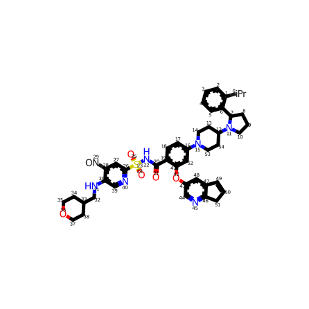 CC(C)c1ccccc1C1CCCN1C1CCN(c2ccc(C(=O)NS(=O)(=O)c3cc(N=O)c(NCC4CCOCC4)cn3)c(Oc3cnc4c(c3)C=CC4)c2)CC1